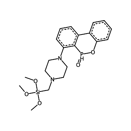 CO[Si](CN1CCN(c2cccc3c2[PH](=O)Oc2ccccc2-3)CC1)(OC)OC